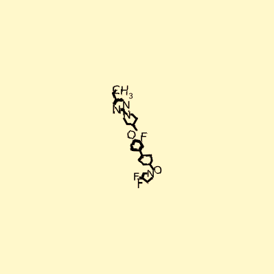 CCc1cnc(N2CCC(COc3ccc(C4=CCC(C(=O)N5CCC(F)(F)C5)CC4)cc3F)CC2)nc1